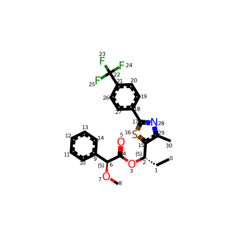 CC[C@H](OC(=O)[C@@H](OC)c1ccccc1)c1sc(-c2ccc(C(F)(F)F)cc2)nc1C